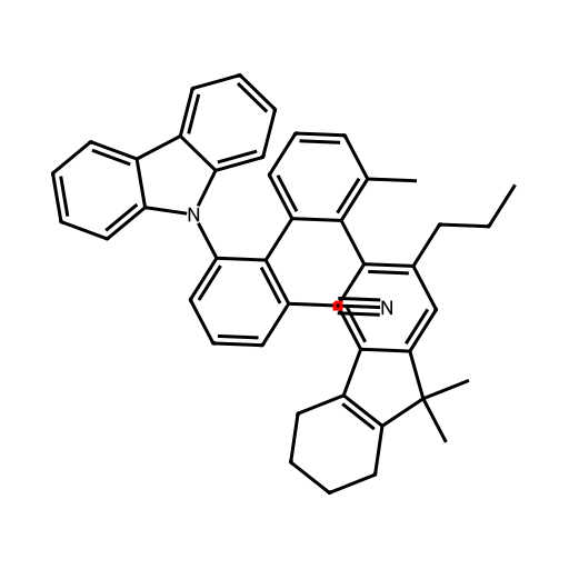 CCCc1cc2c(cc1-c1c(C)cccc1-c1c(C#N)cccc1-n1c3ccccc3c3ccccc31)C1=C(CCCC1)C2(C)C